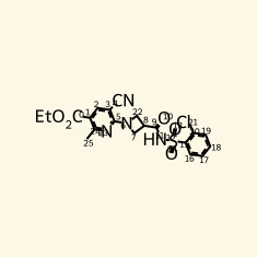 CCOC(=O)c1cc(C#N)c(N2CC(C(=O)NS(=O)(=O)c3ccccc3Cl)C2)nc1C